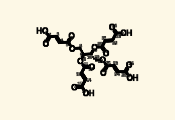 O=C(O)/C=C/C(=O)OC[C@H](OC(=O)/C=C/C(=O)O)[C@@H](COC(=O)/C=C/C(=O)O)OC(=O)/C=C/C(=O)O